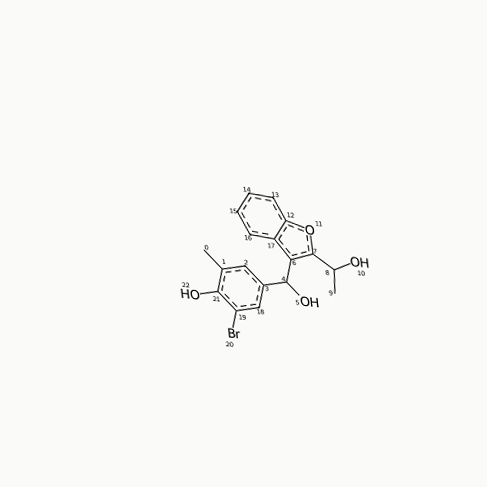 Cc1cc(C(O)c2c(C(C)O)oc3ccccc23)cc(Br)c1O